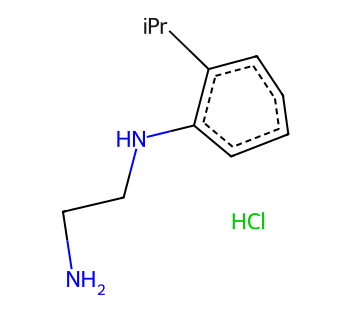 CC(C)c1ccccc1NCCN.Cl